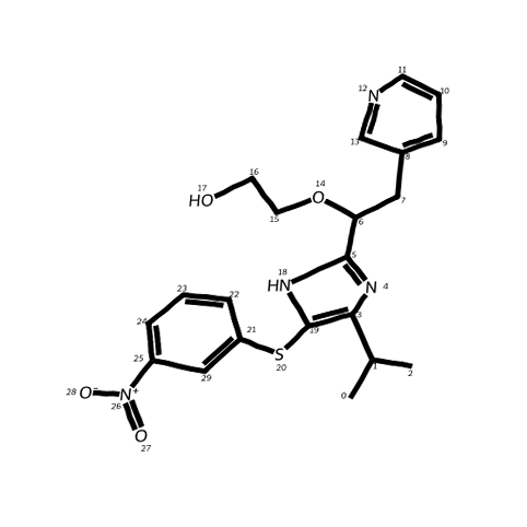 CC(C)c1nc(C(Cc2cccnc2)OCCO)[nH]c1Sc1cccc([N+](=O)[O-])c1